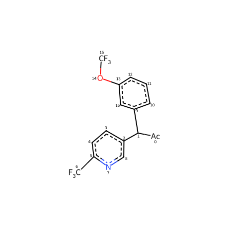 CC(=O)C(c1ccc(C(F)(F)F)nc1)c1cccc(OC(F)(F)F)c1